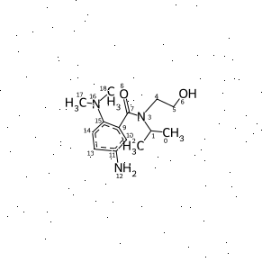 CC(C)N(CCO)C(=O)c1cc(N)ccc1N(C)C